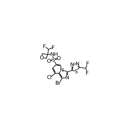 O=S(=O)(NC1(C(F)F)COC1)c1cc(Cl)c2c(Br)nc(-c3nnc(C(F)F)s3)n2c1